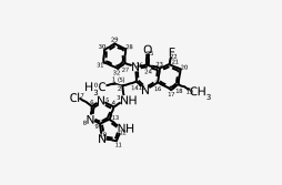 CC[C@H](Nc1nc(Cl)nc2nc[nH]c12)c1nc2cc(C)cc(F)c2c(=O)n1-c1ccccc1